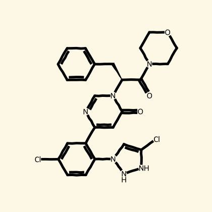 O=C([C@H](Cc1ccccc1)n1cnc(-c2cc(Cl)ccc2N2C=C(Cl)NN2)cc1=O)N1CCOCC1